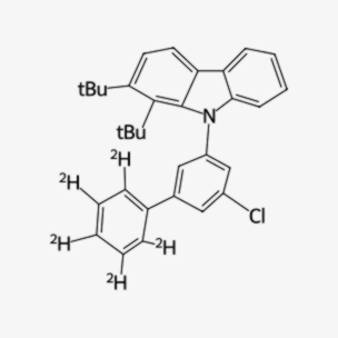 [2H]c1c([2H])c([2H])c(-c2cc(Cl)cc(-n3c4ccccc4c4ccc(C(C)(C)C)c(C(C)(C)C)c43)c2)c([2H])c1[2H]